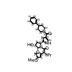 COc1cc(C(C(=O)N2C[C@H](O)C[C@H]2c2nc(C(=O)N3CCC(c4ccccc4)CC3)c[nH]2)C(C)C)on1